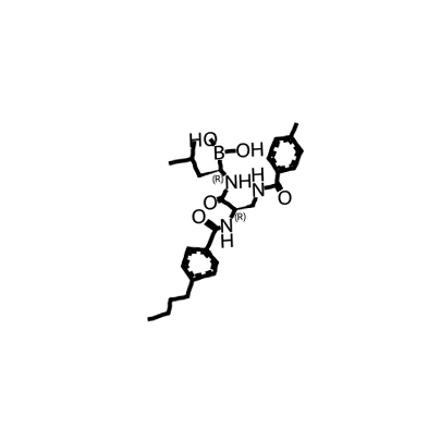 CCCCc1ccc(C(=O)N[C@H](CNC(=O)c2ccc(C)cc2)C(=O)N[C@@H](CC(C)C)B(O)O)cc1